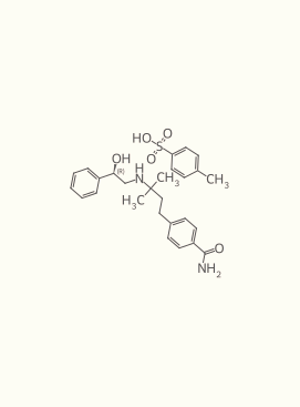 CC(C)(CCc1ccc(C(N)=O)cc1)NC[C@H](O)c1ccccc1.Cc1ccc(S(=O)(=O)O)cc1